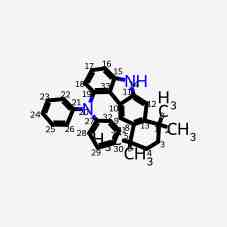 CC1(C)CCC(C)(C)c2cc3c(cc21)[nH]c1cccc(N(c2ccccc2)c2ccccc2)c13